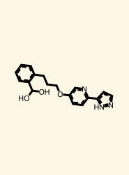 OC(O)c1ccccc1CCCOc1ccc(-c2ccn[nH]2)nc1